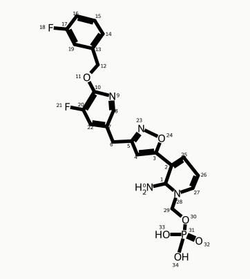 NC1C(c2cc(Cc3cnc(OCc4cccc(F)c4)c(F)c3)no2)=CC=CN1COP(=O)(O)O